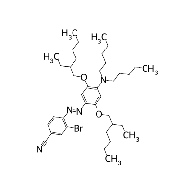 CCCCCN(CCCCC)c1cc(OCC(CC)CCCC)c(/N=N/c2ccc(C#N)cc2Br)cc1OCC(CC)CCCC